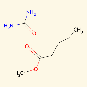 CCCCC(=O)OC.NC(N)=O